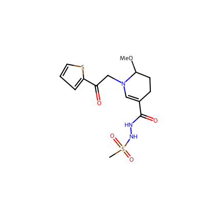 COC1CCC(C(=O)NNS(C)(=O)=O)=CN1CC(=O)c1cccs1